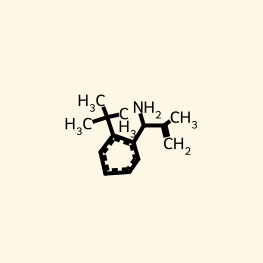 C=C(C)C(N)c1ccccc1C(C)(C)C